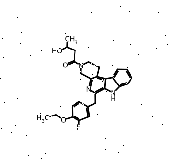 CCOc1ccc(Cc2nc3c(c4c2[nH]c2ccccc24)CCN(C(=O)CC(C)O)C3)cc1F